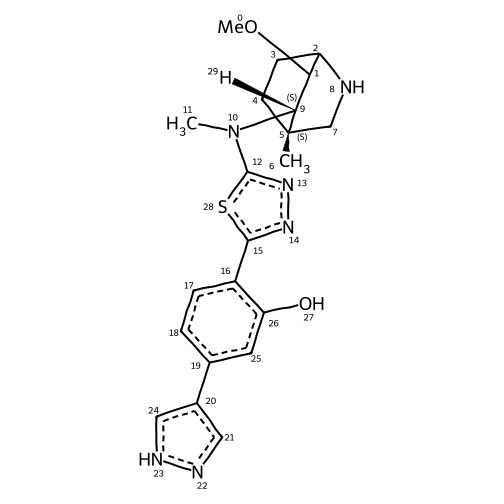 COC1C2CC[C@@](C)(CN2)[C@@H]1N(C)c1nnc(-c2ccc(-c3cn[nH]c3)cc2O)s1